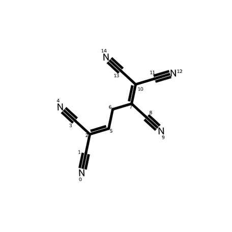 N#CC(C#N)=CCC(C#N)=C(C#N)C#N